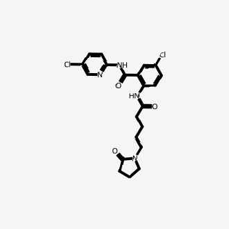 O=C(CCCCN1CCCC1=O)Nc1ccc(Cl)cc1C(=O)Nc1ccc(Cl)cn1